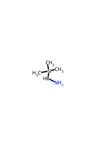 C[Si](C)(C)BN